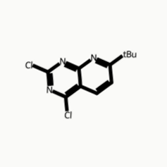 CC(C)(C)c1ccc2c(Cl)nc(Cl)nc2n1